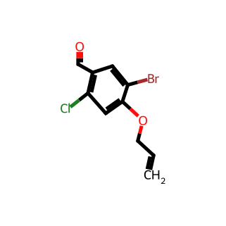 C=CCOc1cc(Cl)c(C=O)cc1Br